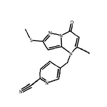 CSc1cc2n(Cc3ccc(C#N)nc3)c(C)cc(=O)n2n1